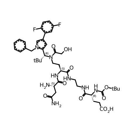 CC(C)(C)OC(=O)N[C@H](CCC(=O)O)C(=O)NCCNC(=O)[C@H](CCN(C(=O)CO)[C@@H](c1cc(-c2cc(F)ccc2F)cn1Cc1ccccc1)C(C)(C)C)NC(=O)[C@@H](N)CC(N)=O